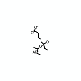 CCC(C)[O-].CCC(C)[O-].CCCC(=O)[O-].[Al+3]